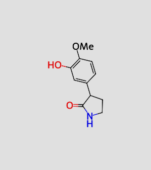 COc1ccc(C2CCNC2=O)cc1O